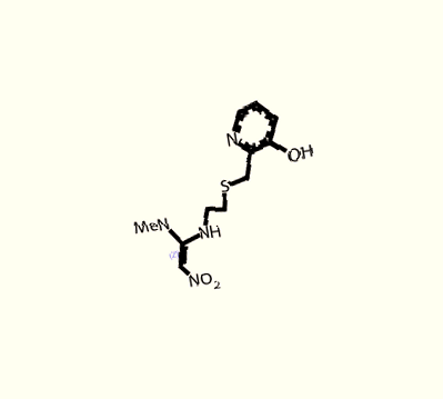 CN/C(=C/[N+](=O)[O-])NCCSCc1ncccc1O